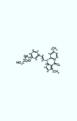 Cc1ccc(C(=O)c2c(C)ccn2C/C=C/c2cccc(O[C@@H](C)C(=O)O)c2)cc1